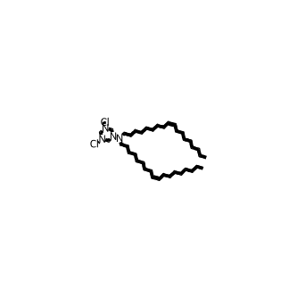 CCCCCCCC/C=C\CCCCCCCCN(CCCCCCCC/C=C\CCCCCCCC)N1CN(Cl)CN(Cl)C1